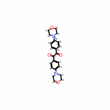 O=C(C(=O)c1ccc(N2CCOCC2)cc1)c1ccc(N2CCOCC2)cc1